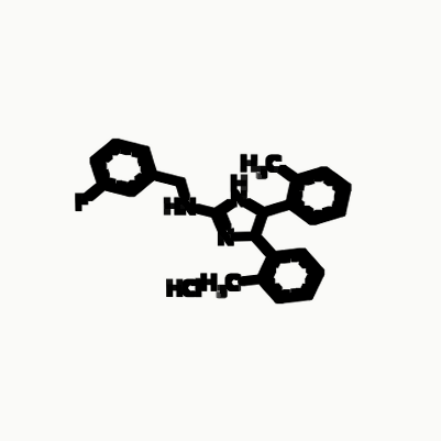 Cc1ccccc1C1N=C(NCc2cccc(F)c2)NC1c1ccccc1C.Cl